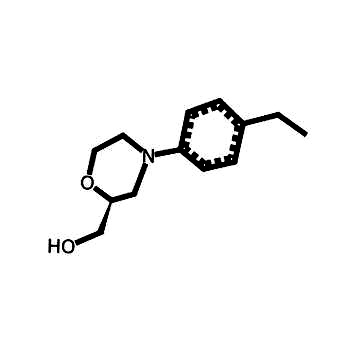 CCc1ccc(N2CCO[C@H](CO)C2)cc1